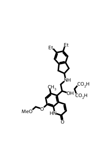 CCc1cc2c(cc1CC)CC(NCC(O)c1c(C)cc(OCOC)c3[nH]c(=O)ccc13)C2.O=C(O)CC(=O)O